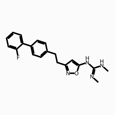 CN=C(NC)Nc1cc(CCc2ccc(-c3ccccc3F)cc2)no1